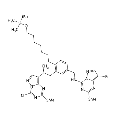 CSc1nc(Cl)n2ncc(C(C)Cc3cc(CNc4nc(SC)nc5c(C(C)C)cnn45)ccc3CCCCCCCO[Si](C)(C)C(C)(C)C)c2n1